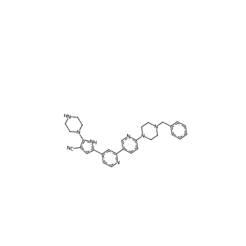 N#Cc1cc(-c2ccnc(-c3ccc(N4CCN(Cc5ccccc5)CC4)nc3)c2)[nH]c1N1CCNCC1